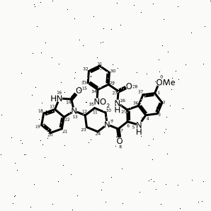 COc1ccc2[nH]c(C(=O)N3CCC(n4c(=O)[nH]c5ccccc54)CC3)c(NC(=O)c3ccccc3[N+](=O)[O-])c2c1